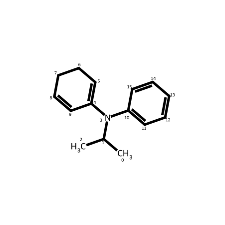 CC(C)N(C1=CCCC=C1)c1ccccc1